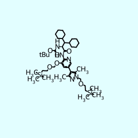 Cc1nn(COCC[Si](C)(C)C)c(C)c1-c1cnc(NC(=O)[C@@H](NC(=O)OC(C)(C)C)C(C2CCCCC2)C2CCCCC2)c(OCOCC[Si](C)(C)C)c1